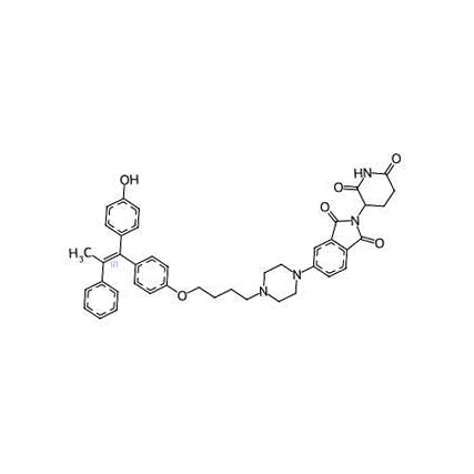 C/C(=C(\c1ccc(O)cc1)c1ccc(OCCCCN2CCN(c3ccc4c(c3)C(=O)N(C3CCC(=O)NC3=O)C4=O)CC2)cc1)c1ccccc1